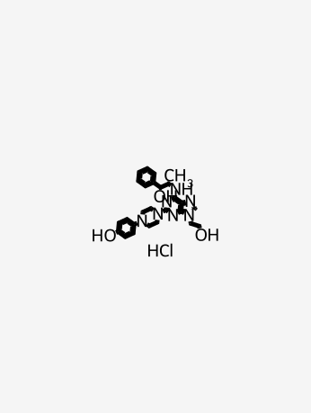 C[C@@H](Nc1nc(N2CCN(c3ccc(O)cc3)CC2)nc2c1ncn2CCO)[C@@H](O)c1ccccc1.Cl